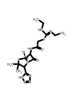 CC/N=C(/NCC)SCC(=O)NC1C(=O)N2C(c3nnn[nH]3)C(C)(C)S[C@H]12